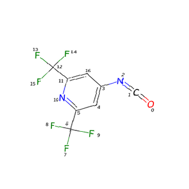 O=C=Nc1cc(C(F)(F)F)nc(C(F)(F)F)c1